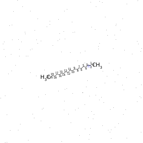 CC/C=C/CCCCCCCCCCCCCCCCCC